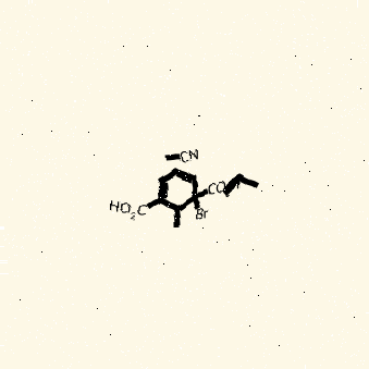 C=CC.CC#N.CC1C(C(=O)O)=CC=CC1(Br)C(=O)O